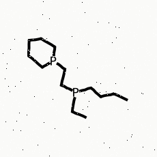 CCCCP(CC)CCP1CCCCC1